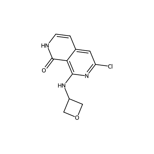 O=c1[nH]ccc2cc(Cl)nc(NC3COC3)c12